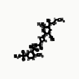 CCOC(=O)c1cc(C#N)c(N2CC(C(=O)NS(=O)(=O)c3cc(S(C)(=O)=O)ccc3C)C2)nc1C